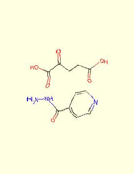 NNC(=O)c1ccncc1.O=C(O)CCC(=O)C(=O)O